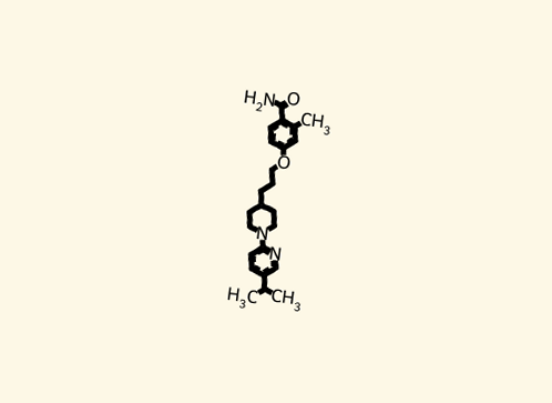 Cc1cc(OCCCC2CCN(c3ccc(C(C)C)cn3)CC2)ccc1C(N)=O